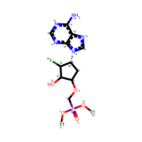 CCOP(=O)(COC1C[C@@H](n2cnc3c(N)ncnc32)C(F)C1O)OCC